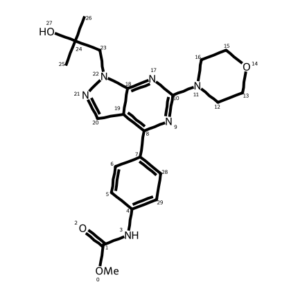 COC(=O)Nc1ccc(-c2nc(N3CCOCC3)nc3c2cnn3CC(C)(C)O)cc1